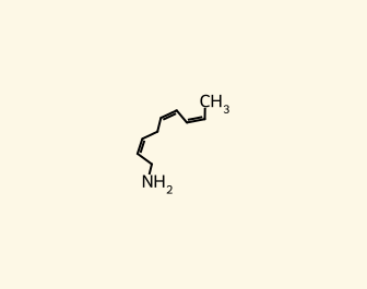 C/C=C\C=C/C/C=C\CN